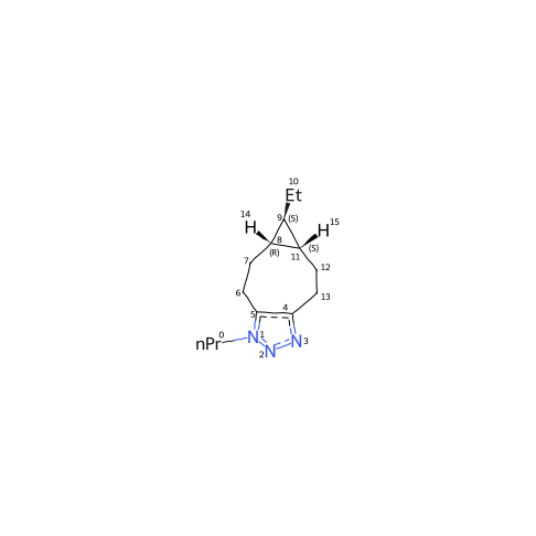 CCCn1nnc2c1CC[C@@H]1[C@@H](CC)[C@@H]1CC2